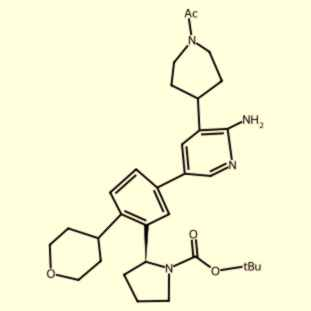 CC(=O)N1CCC(c2cc(-c3ccc(C4CCOCC4)c([C@@H]4CCCN4C(=O)OC(C)(C)C)c3)cnc2N)CC1